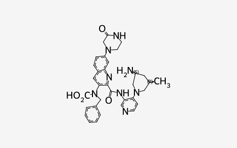 C[C@@H]1C[C@H](N)CN(c2ccncc2NC(=O)c2nc3cc(N4CCNC(=O)C4)ccc3cc2N(Cc2ccccc2)C(=O)O)C1